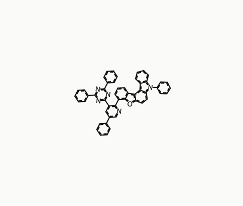 c1ccc(-c2cnc(-c3cccc4c3oc3ccc5c(c6ccccc6n5-c5ccccc5)c34)c(-c3nc(-c4ccccc4)nc(-c4ccccc4)n3)c2)cc1